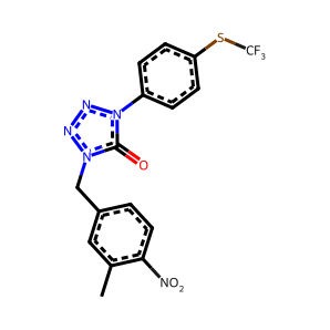 Cc1cc(Cn2nnn(-c3ccc(SC(F)(F)F)cc3)c2=O)ccc1[N+](=O)[O-]